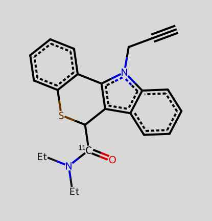 C#CCn1c2c(c3ccccc31)C([11C](=O)N(CC)CC)Sc1ccccc1-2